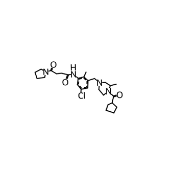 Cc1c(CN2CCN(C(=O)C3CCCC3)C(C)C2)cc(Cl)cc1NC(=O)CCC(=O)N1CCCC1